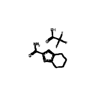 NC(=O)c1cc2c(s1)CCCC2.O=C(O)C(F)(F)F